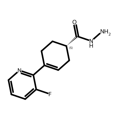 NNC(=O)[C@@H]1CC=C(c2ncccc2F)CC1